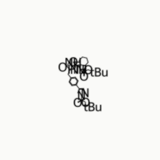 CC(C)(C)OC(=O)NC1(C(=O)NC(Cc2ccc(-c3cnn(C(=O)OC(C)(C)C)c3)cc2)C(N)=O)CCCCC1